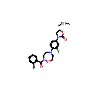 CC(=O)NC[C@H]1CN(c2ccc(N3CCON(C(=O)c4ccccc4F)CC3)c(F)c2)C(=O)O1